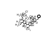 CC[C@H](C)[C@H](NC(=O)C[C@H](O)[C@H](CC(C)C)NC(=O)CNC(=O)[C@H](Cc1ccccc1)NC(=O)OC(C)(C)C)C(=O)NCC[N+](C)(C)C.[Cl-]